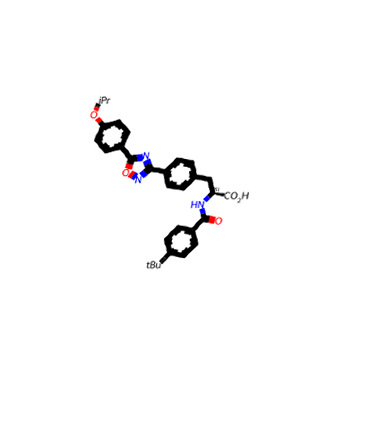 CC(C)Oc1ccc(-c2nc(-c3ccc(C[C@H](NC(=O)c4ccc(C(C)(C)C)cc4)C(=O)O)cc3)no2)cc1